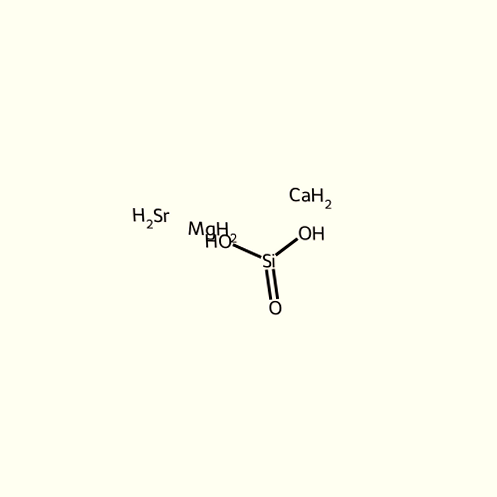 O=[Si](O)O.[CaH2].[MgH2].[SrH2]